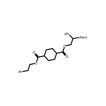 CCCCCC(CCC)COC(=O)C1CCC(C(=O)OCCC(C)C)CC1